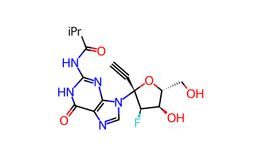 C#C[C@@]1(n2cnc3c(=O)[nH]c(NC(=O)C(C)C)nc32)O[C@H](CO)[C@@H](O)[C@H]1F